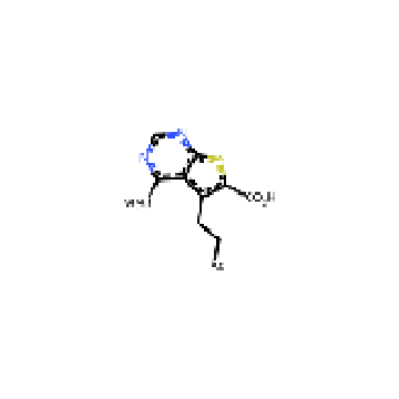 COc1ncnc2sc(C(=O)O)c(CCC(C)=O)c12